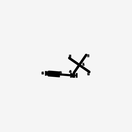 CC(C)(C)NC#N